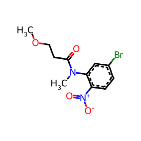 COCCC(=O)N(C)c1cc(Br)ccc1[N+](=O)[O-]